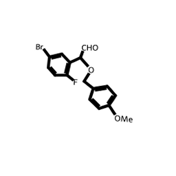 COc1ccc(COC(C=O)c2cc(Br)ccc2F)cc1